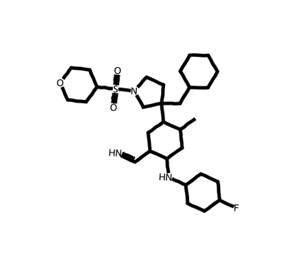 CC1CC(NC2CCC(F)CC2)C(C=N)CC1C1(CC2CCCCC2)CCN(S(=O)(=O)C2CCOCC2)C1